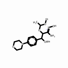 CCOC(C)OC(/C(N)=N/O)C(OC)c1ccc(N2CCOCC2)cc1